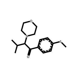 CSc1ccc(C(=O)C(C(C)C)N2CCOCC2)cc1